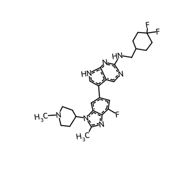 Cc1nc2c(F)cc(-c3c[nH]c4nc(NCC5CCC(F)(F)CC5)ncc34)cc2n1C1CCN(C)CC1